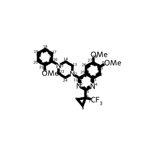 COc1cc2nc(C3(C(F)(F)F)CC3)nc(N3CCN(c4ccccc4OC)CC3)c2cc1OC